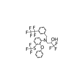 OC(CN(Cc1cccc(C(F)(F)C(F)(F)F)c1)c1cccc(SC(F)(F)F)c1Oc1ccccc1)C(F)(F)F